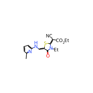 CCOC(=O)C(C#N)=c1sc(=CNc2cccc(C)n2)c(=O)n1CC